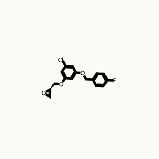 Fc1ccc(COc2cc(Cl)cc(OC[C@H]3CO3)c2)cc1